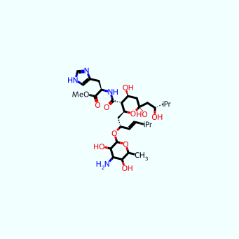 COC(=O)[C@@H](Cc1c[nH]cn1)NC(=O)[C@H]1[C@H](C[C@H](/C=C/C(C)C)OC2OC(C)C(O)C(N)C2O)O[C@](O)(C[C@@H](O)C(C)C)C[C@@H]1O